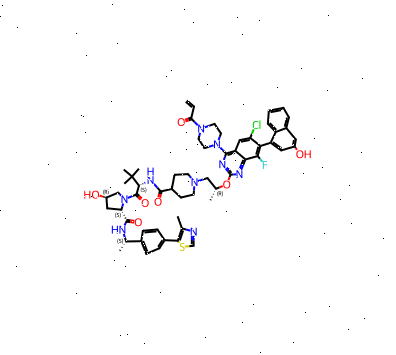 C=CC(=O)N1CCN(c2nc(O[C@H](C)CN3CCC(C(=O)N[C@H](C(=O)N4C[C@H](O)C[C@H]4C(=O)N[C@@H](C)c4ccc(-c5scnc5C)cc4)C(C)(C)C)CC3)nc3c(F)c(-c4cc(O)cc5ccccc45)c(Cl)cc23)CC1